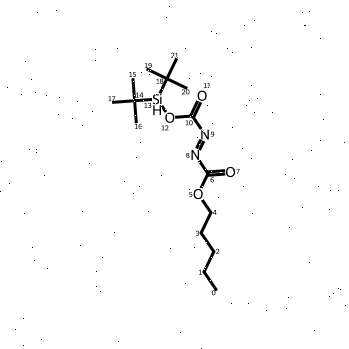 CCCCCOC(=O)N=NC(=O)O[SiH](C(C)(C)C)C(C)(C)C